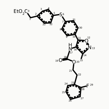 CCOC(=O)Cc1ccc(Sc2ccc(-c3onc(C)c3NC(=O)OCCc3ccccc3F)cc2)cc1